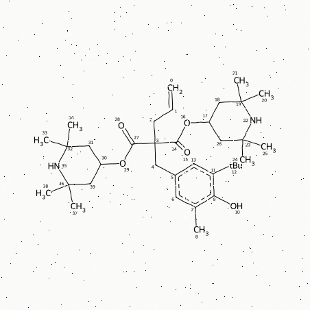 C=CCC(Cc1cc(C)c(O)c(C(C)(C)C)c1)(C(=O)OC1CC(C)(C)NC(C)(C)C1)C(=O)OC1CC(C)(C)NC(C)(C)C1